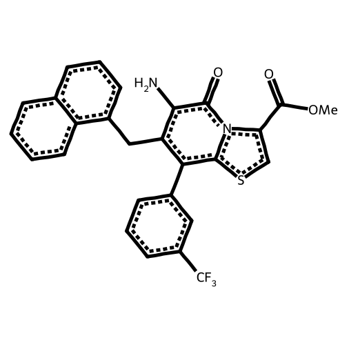 COC(=O)c1csc2c(-c3cccc(C(F)(F)F)c3)c(Cc3cccc4ccccc34)c(N)c(=O)n12